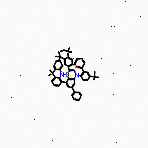 CC(C)(C)c1ccc(N2c3cc(-c4ccccc4)cc4c3B(c3c2sc2cc5c(cc32)C(C)(C)CCC5(C)C)N2c3ccccc3C(C)(C)c3cccc-4c32)c(-c2ccccc2)c1